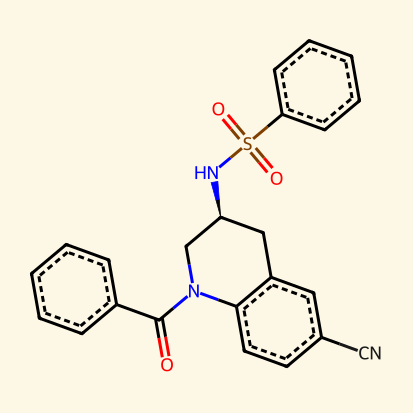 N#Cc1ccc2c(c1)C[C@H](NS(=O)(=O)c1ccccc1)CN2C(=O)c1ccccc1